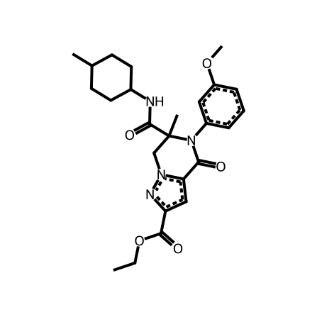 CCOC(=O)c1cc2n(n1)CC(C)(C(=O)NC1CCC(C)CC1)N(c1cccc(OC)c1)C2=O